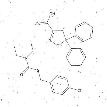 CCN(CC)C(=O)SCc1ccc(Cl)cc1.O=C(O)C1=NOC(c2ccccc2)(c2ccccc2)C1